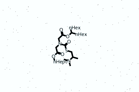 CCCCCCCOC(=O)CN(CC(=O)OC(CCCCCC)CCCCCC)C(=O)SCC(C)N(C)C